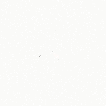 C[C@@]1(c2ccccc2)CCN(c2ccccc2)C1=O